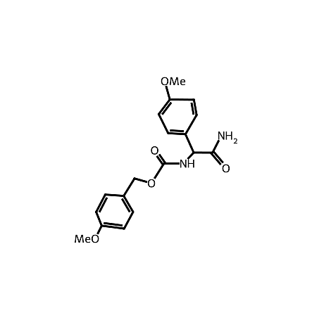 COc1ccc(COC(=O)NC(C(N)=O)c2ccc(OC)cc2)cc1